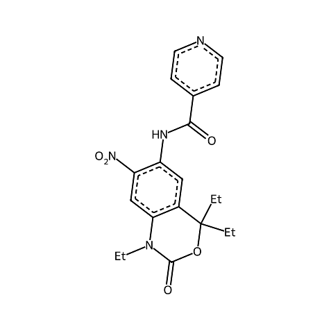 CCN1C(=O)OC(CC)(CC)c2cc(NC(=O)c3ccncc3)c([N+](=O)[O-])cc21